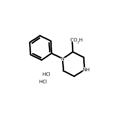 Cl.Cl.O=C(O)C1CNCCN1c1ccccc1